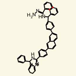 N/N=C(\NC(C1=CCCC=C1)c1ccccc1)c1ccc(-c2ccc3ccc(-c4ccc(C(N/C(=N\N)c5ccccc5)c5ccccc5)cc4)cc3c2)cc1